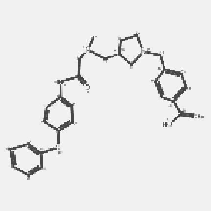 CN(CC(=O)Nc1ccc(Oc2ccccc2)cc1)C[C@H]1CCN(Cc2ccc(C(=O)O)cc2)C1